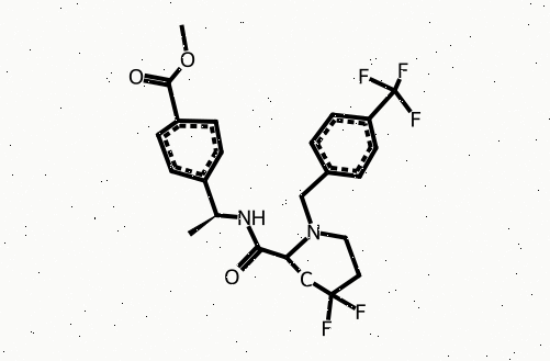 COC(=O)c1ccc([C@H](C)NC(=O)C2CC(F)(F)CCN2Cc2ccc(C(F)(F)F)cc2)cc1